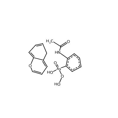 C1=CCC2=CC=COC2=C1.CC(=O)Nc1ccccc1[As](=O)(O)OO